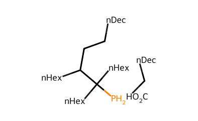 CCCCCCCCCCCC(=O)O.CCCCCCCCCCCCC(CCCCCC)C(P)(CCCCCC)CCCCCC